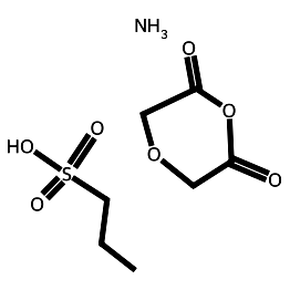 CCCS(=O)(=O)O.N.O=C1COCC(=O)O1